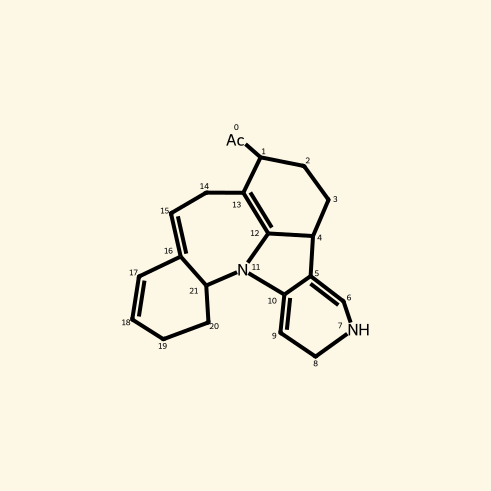 CC(=O)C1CCC2C3=CNCC=C3N3C2=C1CC=C1C=CCCC13